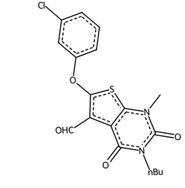 CCCCn1c(=O)c2c(C=O)c(Oc3cccc(Cl)c3)sc2n(C)c1=O